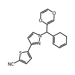 N#Cc1ccc(-c2ccn(C(C3=CC=CCC3)C3=COC=CO3)n2)s1